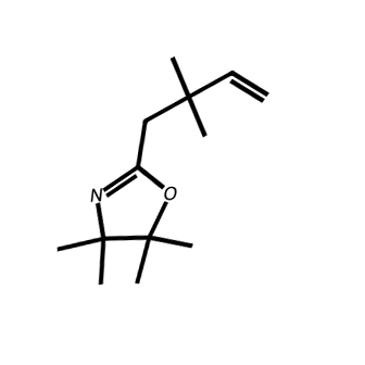 C=CC(C)(C)CC1=NC(C)(C)C(C)(C)O1